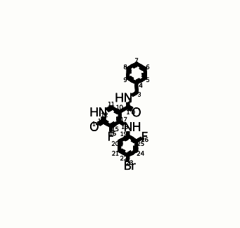 O=C(NCc1ccccc1)c1c[nH]c(=O)c(F)c1Nc1ccc(Br)cc1F